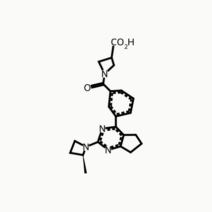 C[C@H]1CCN1c1nc2c(c(-c3cccc(C(=O)N4CC(C(=O)O)C4)c3)n1)CCC2